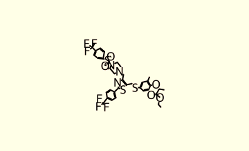 CCOC(=O)C(C)Oc1ccc(SCc2sc(-c3ccc(C(F)(F)F)cc3)nc2CN2CCN(S(=O)(=O)c3ccc(C(F)(F)F)cc3)CC2)cc1C